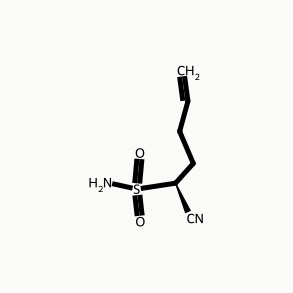 C=CCC[C@@H](C#N)S(N)(=O)=O